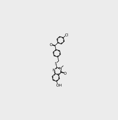 Cn1c(SCc2ccc(C(=O)c3ccc(Cl)cc3)cc2)nc2ccc(O)cc2c1=O